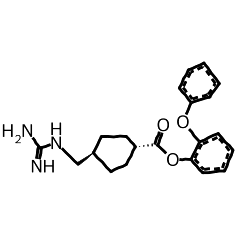 N=C(N)NC[C@H]1CC[C@H](C(=O)Oc2ccccc2Oc2ccccc2)CC1